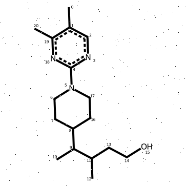 Cc1cnc(N2CCC(C(C)C(C)CCO)CC2)nc1C